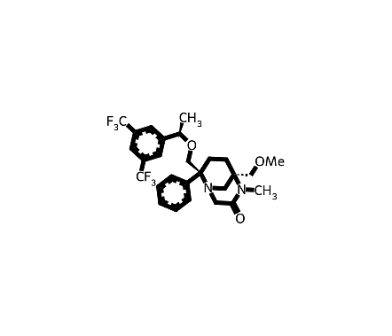 COC[C@]12CC[C@@](CO[C@H](C)c3cc(C(F)(F)F)cc(C(F)(F)F)c3)(c3ccccc3)N(CC(=O)N1C)C2